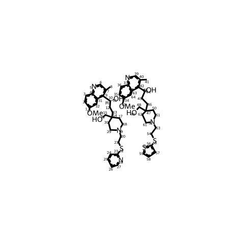 COc1ccc2ncc(C)c([C@H](O)CCC3(CO)CCN(CCSc4ccccn4)CC3)c2c1.COc1ccc2ncc(C)c([C@H](O)CCC3(CO)CCN(CCSc4cccs4)CC3)c2c1